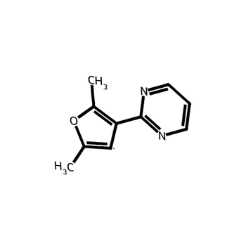 Cc1[c]c(-c2ncccn2)c(C)o1